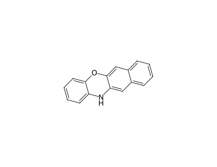 c1ccc2c(c1)Nc1cc3ccccc3cc1O2